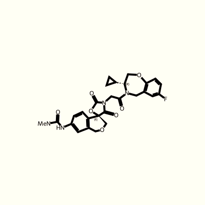 CNC(=O)Nc1ccc2c(c1)COC[C@]21OC(=O)N(CC(=O)N2Cc3cc(F)ccc3OC[C@H]2C2CC2)C1=O